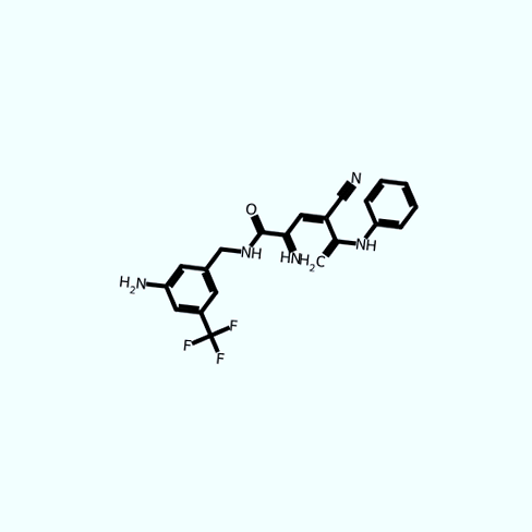 C=C(Nc1ccccc1)/C(C#N)=C\C(=N)C(=O)NCc1cc(N)cc(C(F)(F)F)c1